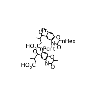 CCCCCCC1Oc2cc(C(C)C)c(C(=O)C(C)CC(=O)O)cc2N(C)C1=O.CCCCCc1cc2c(cc1C(=O)C(C)CC(=O)O)N(C)C(=O)C(C)O2